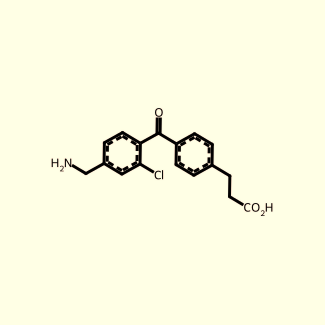 NCc1ccc(C(=O)c2ccc(CCC(=O)O)cc2)c(Cl)c1